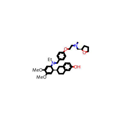 CCN(Cc1ccc(OCCN(C)C[C@H]2CCCO2)cc1)C1C=C(OC)C(OC)=CC1[C@@H]1CCc2cc(O)ccc2C1